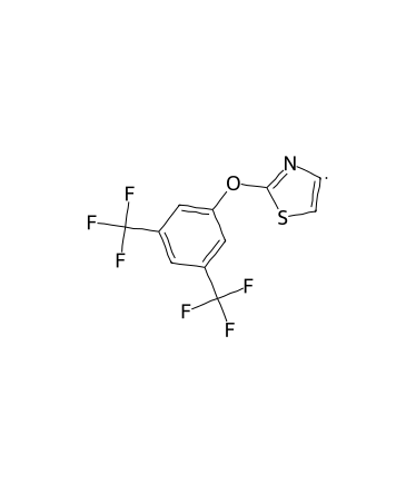 FC(F)(F)c1cc(Oc2n[c]cs2)cc(C(F)(F)F)c1